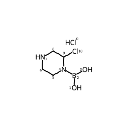 Cl.OB(O)N1CCNCC1Cl